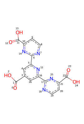 O=C(O)c1cc(-c2nccc(C(=O)O)n2)nc(-c2nccc(C(=O)O)n2)c1